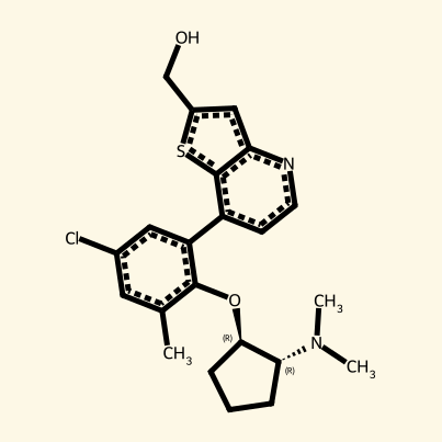 Cc1cc(Cl)cc(-c2ccnc3cc(CO)sc23)c1O[C@@H]1CCC[C@H]1N(C)C